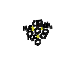 CS(c1ccccc1)(c1ccccc1)c1cc(S(C)(c2ccccc2)c2ccccc2)c(S(=O)(=O)O)c(S(C)(c2ccccc2)c2ccccc2)c1